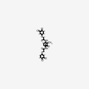 CN1C(=O)C2(NC(=O)COc3ccc(Cl)c(Cl)c3)CCC1(NC(=O)COc1ccc(Cl)c(Cl)c1)CC2